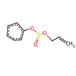 C=CCOS(=O)Oc1ccccc1